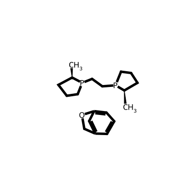 C[C@@H]1CCCP1CCP1CCC[C@H]1C.c1cc2cc(c1)OC2